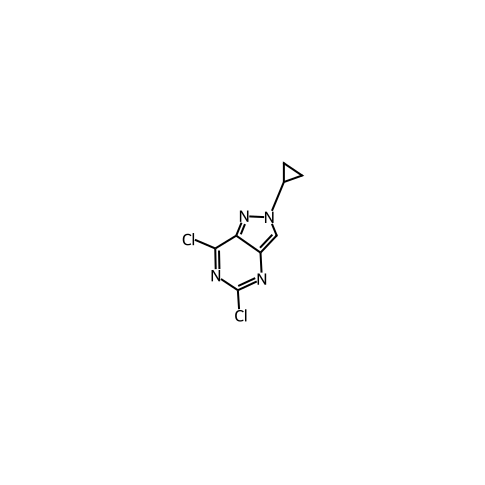 Clc1nc(Cl)c2nn(C3CC3)cc2n1